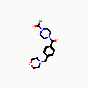 O=C(O)N1CCN(C(=O)c2ccc(CN3CCOCC3)cc2)CC1